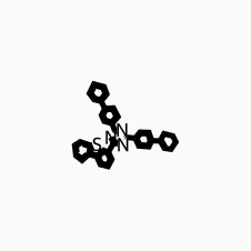 C1=C(c2ccc(-c3nc(-c4ccc(-c5ccccc5)cc4)nc(-c4cccc5c4sc4ccccc45)n3)cc2)CCCC1